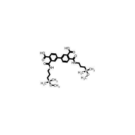 CO[Si](C)(C)CCCNC(=O)c1ccc(-c2ccc(C(=O)O)c(C(=O)NCCC[Si](C)(C)OC)c2)cc1C(=O)O